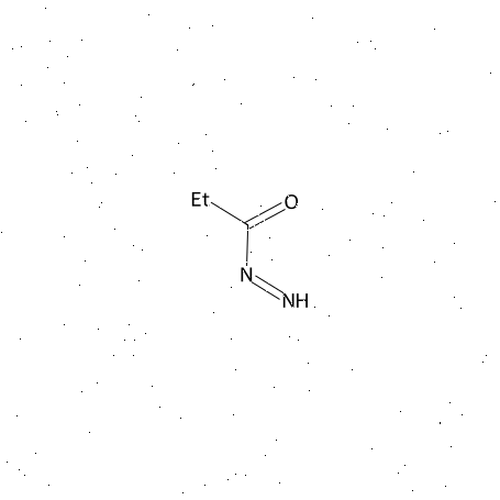 CCC(=O)N=N